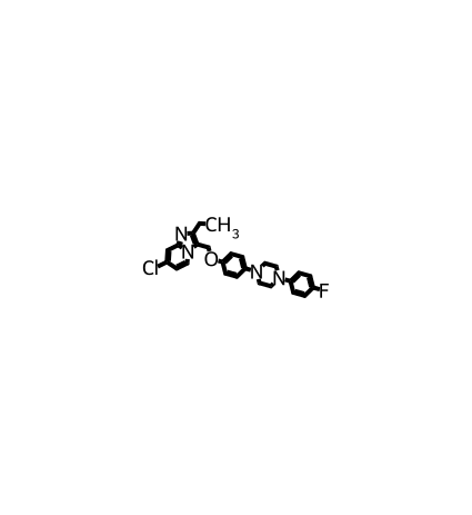 CCc1nc2cc(Cl)ccn2c1COc1ccc(N2CCN(c3ccc(F)cc3)CC2)cc1